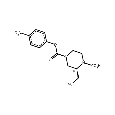 N#CC[C@H]1CN(C(=O)Oc2ccc([N+](=O)[O-])cc2)CCN1C(=O)O